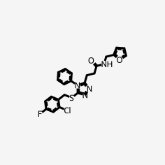 O=C(CCc1nnc(SCc2ccc(F)cc2Cl)n1-c1ccccc1)NCc1ccco1